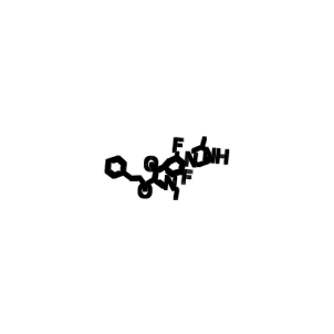 CCn1cc(C(=O)/C=C/c2ccccc2)c(=O)c2cc(F)c(N3CCNC(C)C3)c(F)c21